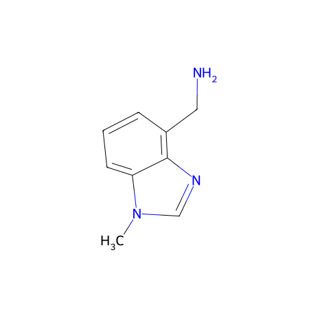 Cn1cnc2c(CN)cccc21